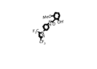 COc1cccc(O)c1C(=O)Nc1ccc(-n2nc(C(F)(F)F)cc2C(F)(F)F)cc1